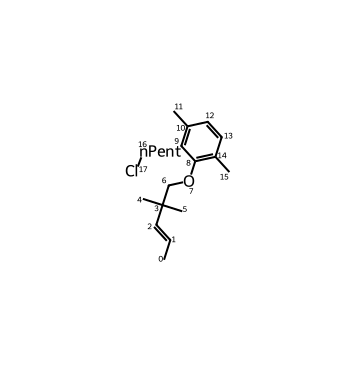 CC=CC(C)(C)COc1cc(C)ccc1C.CCCCCCl